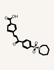 O=C(O)c1ccc(C=CC(=O)c2ccc(S(=O)(=O)N3CCCCCC3)cc2)cc1